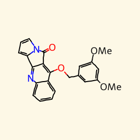 COc1cc(COc2c3c(nc4ccccc24)-c2cccn2C3=O)cc(OC)c1